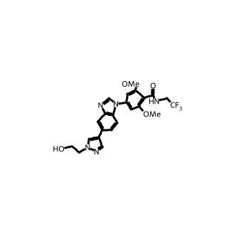 COc1cc(-n2cnc3cc(-c4cnn(CCO)c4)ccc32)cc(OC)c1C(=O)NCC(F)(F)F